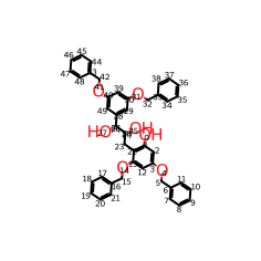 Oc1cc(OCc2ccccc2)cc(OCc2ccccc2)c1C[C@@H](O)[C@H](O)c1cc(OCc2ccccc2)cc(OCc2ccccc2)c1